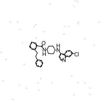 O=C(N[C@H]1CC[C@@H](Nc2ccnc3cc(Cl)ccc23)CC1)c1ccccc1CCc1ccccc1